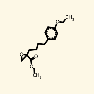 CCOC(=O)C1(CCCCc2ccc(OCC)cc2)CO1